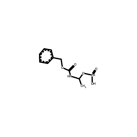 CC(NC(=O)OCc1ccccc1)O[PH](=O)O